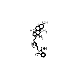 C[C@]12CC[C@H](O)C[C@H]1CCC1C2CC[C@]2(C)[C@@H](CCc3cc(CCN4C(=O)c5ccccc5C4O)on3)CC[C@]12O